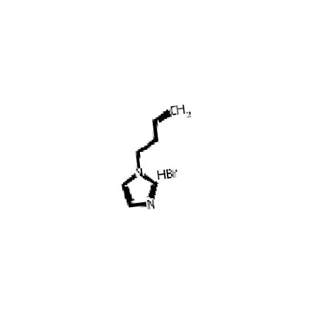 Br.C=CCCn1ccnc1